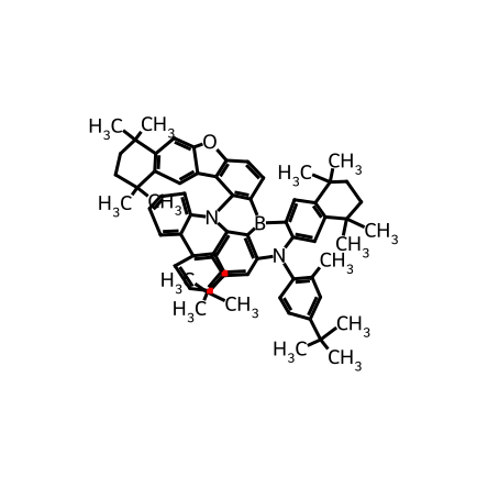 Cc1cc(C(C)(C)C)ccc1N1c2cc3c(cc2B2c4ccc5oc6cc7c(cc6c5c4N(c4ccccc4-c4ccccc4)c4cc(C(C)(C)C)cc1c42)C(C)(C)CCC7(C)C)C(C)(C)CCC3(C)C